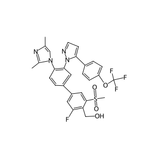 Cc1cn(-c2ccc(-c3cc(F)c(CO)c(S(C)(=O)=O)c3)cc2-n2nccc2-c2ccc(OC(F)(F)F)cc2)c(C)n1